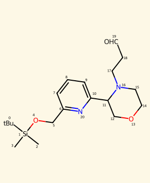 CC(C)(C)[Si](C)(C)OCc1cccc(C2COCCN2CCC=O)n1